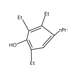 CC[C]c1cc(CC)c(O)c(CC)c1CC